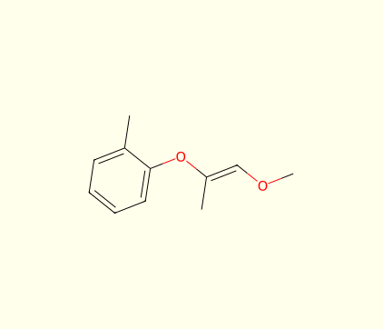 CO/C=C(\C)Oc1ccccc1C